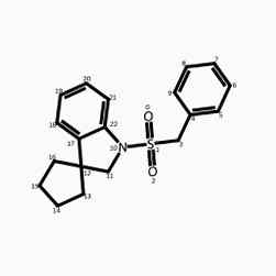 O=S(=O)(Cc1ccccc1)N1CC2(CCCC2)c2ccccc21